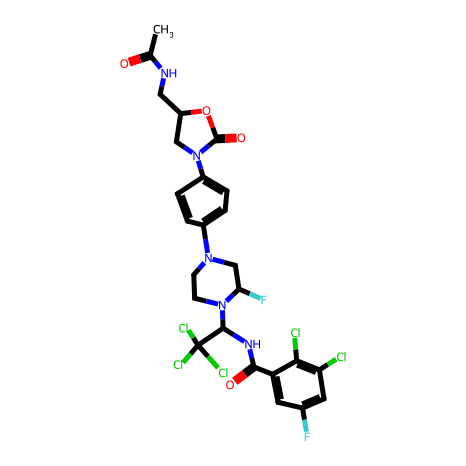 CC(=O)NCC1CN(c2ccc(N3CCN(C(NC(=O)c4cc(F)cc(Cl)c4Cl)C(Cl)(Cl)Cl)C(F)C3)cc2)C(=O)O1